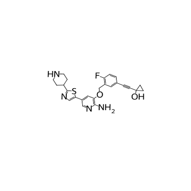 Nc1ncc(-c2cnc(C3CCNCC3)s2)cc1OCc1cc(C#CC2(O)CC2)ccc1F